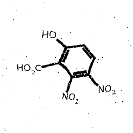 O=C(O)c1c(O)ccc([N+](=O)[O-])c1[N+](=O)[O-]